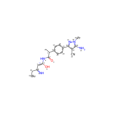 CC(C(=O)N/C(O)=C/C(=N)CC(C)(C)C)c1ccc(-c2nn(C(C)C)c(N)c2C#N)cc1